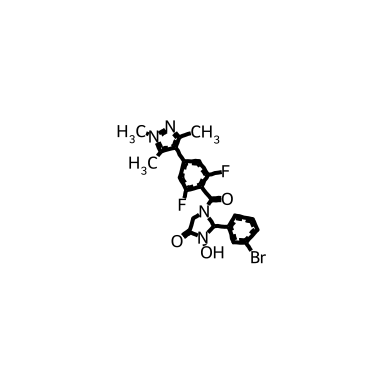 Cc1nn(C)c(C)c1-c1cc(F)c(C(=O)N2CC(=O)N(O)C2c2cccc(Br)c2)c(F)c1